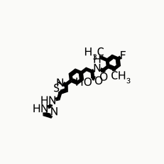 CCc1cc(F)cc(C)c1C(=O)NC(Cc1ccc(-c2cc(CNc3ncc[nH]3)sn2)cc1)C(=O)O